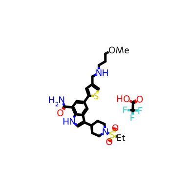 CCS(=O)(=O)N1CCC(c2c[nH]c3c(C(N)=O)cc(-c4cc(CNCCCOC)cs4)cc23)CC1.O=C(O)C(F)(F)F